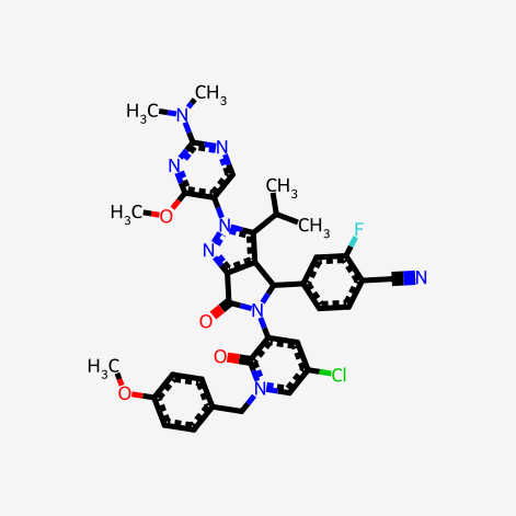 COc1ccc(Cn2cc(Cl)cc(N3C(=O)c4nn(-c5cnc(N(C)C)nc5OC)c(C(C)C)c4C3c3ccc(C#N)c(F)c3)c2=O)cc1